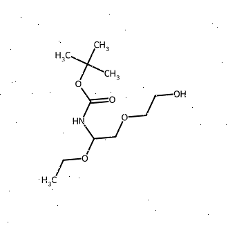 CCOC(COCCO)NC(=O)OC(C)(C)C